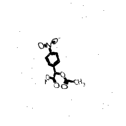 CC(=O)OC(C(=O)OI)c1ccc([N+](=O)[O-])cc1